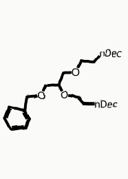 CCCCCCCCCCCCOCC(COCc1ccccc1)OCCCCCCCCCCCC